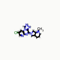 CN1CCCC2CN(c3nc4ncc(Cl)cc4n4cnnc34)CC21